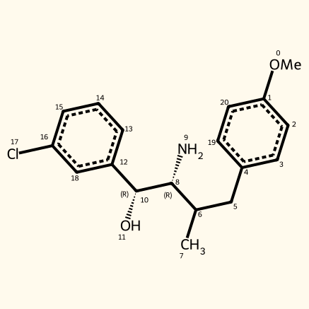 COc1ccc(CC(C)[C@@H](N)[C@H](O)c2cccc(Cl)c2)cc1